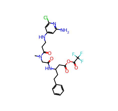 CN(CC(=O)NC(CCc1ccccc1)CC(=O)OC(=O)C(F)(F)F)C(=O)CCNc1cc(N)nc(Cl)c1